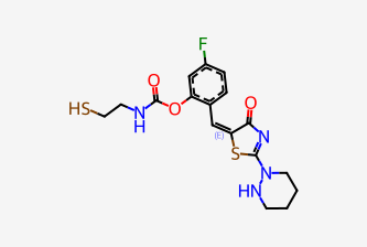 O=C(NCCS)Oc1cc(F)ccc1/C=C1/SC(N2CCCCN2)=NC1=O